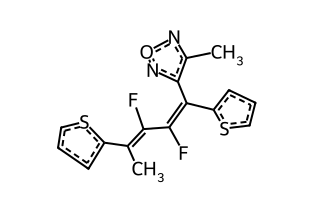 C/C(=C(F)\C(F)=C(\c1cccs1)c1nonc1C)c1cccs1